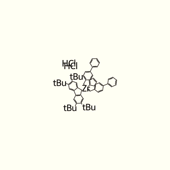 CC(C)(C)c1cc2c(cc1C(C)(C)C)[CH]([Zr](=[CH]c1ccc(-c3ccccc3)cc1)(=[CH]c1ccc(-c3ccccc3)cc1)[C]1=CC=CC1)c1cc(C(C)(C)C)c(C(C)(C)C)cc1-2.Cl.Cl